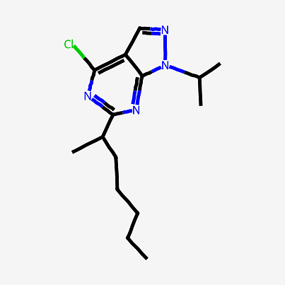 CCCCCC(C)c1nc(Cl)c2cnn(C(C)C)c2n1